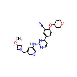 COC1CN(Cc2cncc(Nc3nccc(-c4ccc(OC5CCOCC5)c(C#N)c4)n3)c2)C1